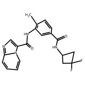 Cc1ccc(C(=O)NC2CC(F)(F)C2)cc1NC(=O)c1cnc2ccccn12